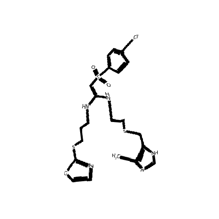 Cc1nc[nH]c1CSCCNC(=CS(=O)(=O)c1ccc(Cl)cc1)NCCCSc1ncco1